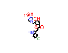 O=C1/C(=C/c2c[nH]c3ccc(Cl)cc23)Oc2c1ccc(O)c2CN1CCN(C(=O)O)CC1